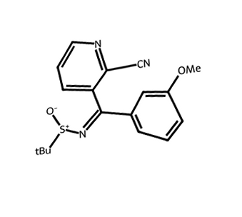 COc1cccc(C(=N[S+]([O-])C(C)(C)C)c2cccnc2C#N)c1